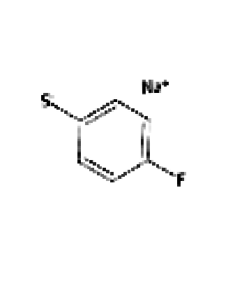 Fc1ccc([S-])cc1.[Na+]